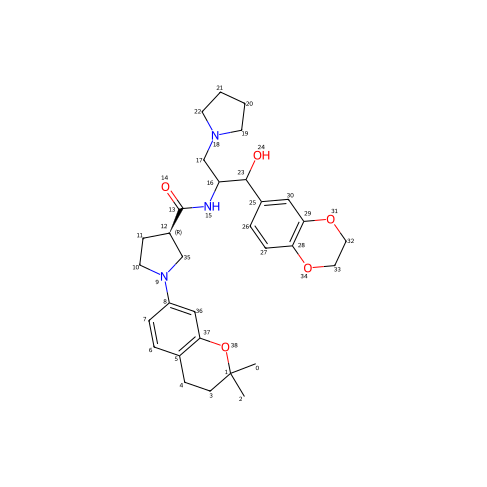 CC1(C)CCc2ccc(N3CC[C@@H](C(=O)NC(CN4CCCC4)C(O)c4ccc5c(c4)OCCO5)C3)cc2O1